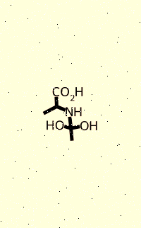 CC(NC(C)(O)O)C(=O)O